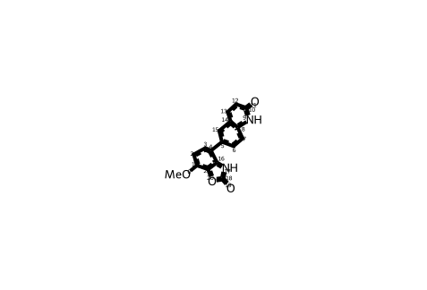 COc1ccc(-c2ccc3[nH]c(=O)ccc3c2)c2[nH]c(=O)oc12